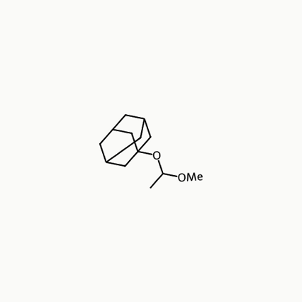 COC(C)OC12CC3CC(CC(C3)C1)C2